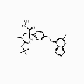 Cc1cc(COc2ccc(C(O)(CN(C)C(=O)OC(C)(C)C)C(=O)NO)cc2)c2ccccc2n1